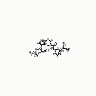 CC1(C#N)CC(=O)N(c2cnn3c2CN(C(=O)Nc2ccnc(C(F)F)c2)CC3)C1